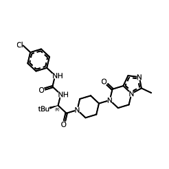 Cc1ncc2n1CCN(C1CCN(C(=O)[C@H](NC(=O)Nc3ccc(Cl)cc3)C(C)(C)C)CC1)C2=O